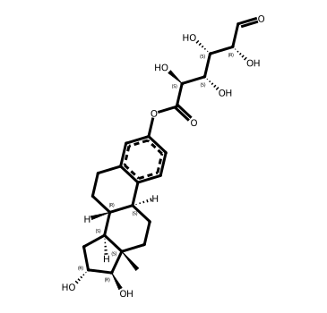 C[C@]12CC[C@@H]3c4ccc(OC(=O)[C@@H](O)[C@@H](O)[C@H](O)[C@@H](O)C=O)cc4CC[C@H]3[C@@H]1C[C@@H](O)[C@@H]2O